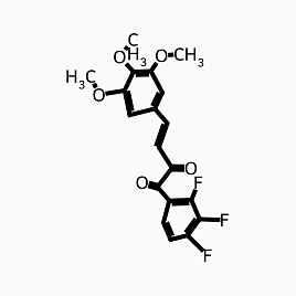 COc1cc(/C=C/C(=O)C(=O)c2ccc(F)c(F)c2F)cc(OC)c1OC